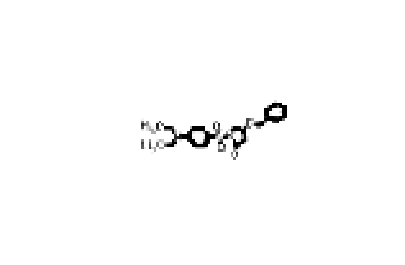 CCN(CC)c1ccc(S(=O)(=O)N2CC(OCc3ccccc3)CC2=O)cc1